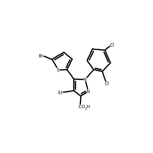 CCc1c(C(=O)O)nn(-c2ccc(Cl)cc2Cl)c1-c1ccc(Br)s1